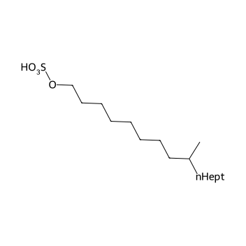 CCCCCCCC(C)CCCCCCCCOS(=O)(=O)O